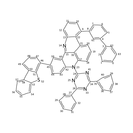 c1ccc(-c2cccc(-c3cccc4nc5c6c(cccc6c34)N(c3nc(-c4ccccc4)nc(-c4ccccc4)n3)c3ccc(-c4cccc6c4sc4ccccc46)cc3-5)c2)cc1